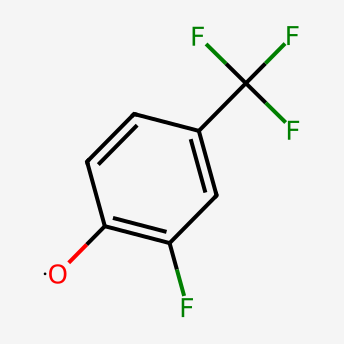 [O]c1ccc(C(F)(F)F)cc1F